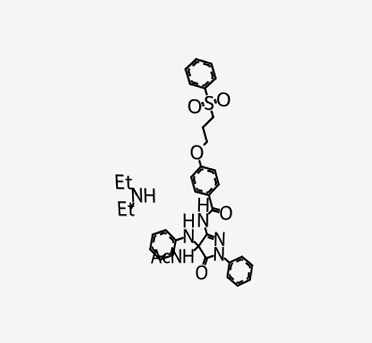 CC(=O)NC1(Nc2ccccc2)C(=O)N(c2ccccc2)N=C1NC(=O)c1ccc(OCCCS(=O)(=O)c2ccccc2)cc1.CCNCC